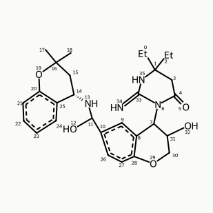 CCC1(CC)CC(=O)N(C2c3cc(C(O)N[C@H]4CC(C)(C)Oc5ccccc54)ccc3OCC2O)C(=N)N1